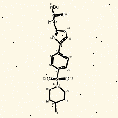 CCCCC(=O)Nc1nc(-c2ccc(S(=O)(=O)N3CCC(C)CC3)cc2)cs1